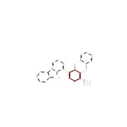 Brc1ccc(-c2cccc3c2oc2ccccc23)c2c1C1c3ccccc3C2c2ccccc21